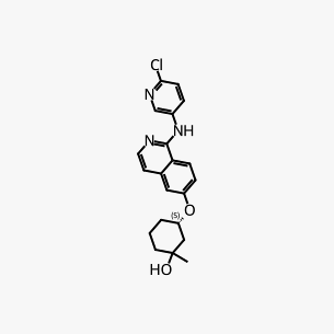 CC1(O)CCC[C@H](Oc2ccc3c(Nc4ccc(Cl)nc4)nccc3c2)C1